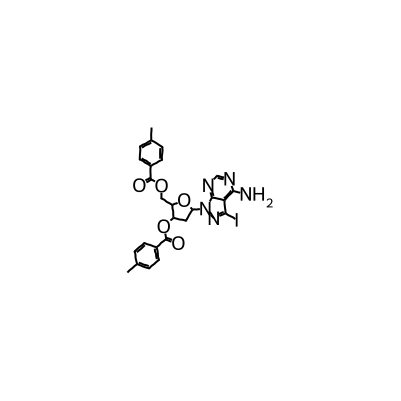 Cc1ccc(C(=O)OCC2OC(n3nc(I)c4c(N)ncnc43)CC2OC(=O)c2ccc(C)cc2)cc1